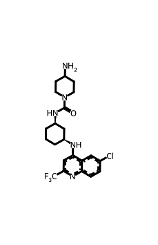 NC1CCN(C(=O)N[C@@H]2CCC[C@H](Nc3cc(C(F)(F)F)nc4ccc(Cl)cc34)C2)CC1